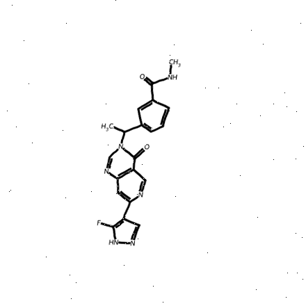 CNC(=O)c1cccc(C(C)n2cnc3cc(-c4cn[nH]c4F)ncc3c2=O)c1